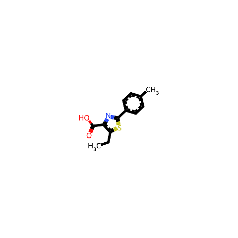 CCc1sc(-c2ccc(C)cc2)nc1C(=O)O